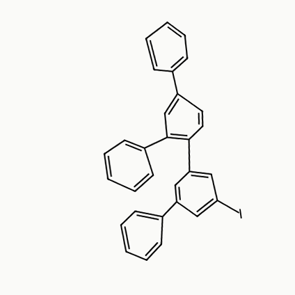 Ic1cc(-c2ccccc2)cc(-c2ccc(-c3ccccc3)cc2-c2ccccc2)c1